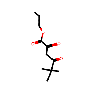 CCCOC(=O)C(=O)CC(=O)C(C)(C)C